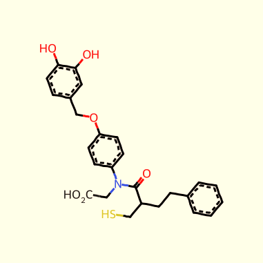 O=C(O)CN(C(=O)C(CS)CCc1ccccc1)c1ccc(OCc2ccc(O)c(O)c2)cc1